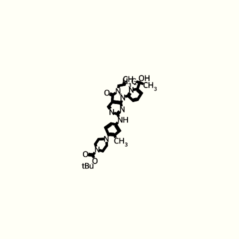 C=CCn1c(=O)c2cnc(Nc3ccc(N4CCN(C(=O)OC(C)(C)C)CC4)c(C)c3)nc2n1-c1cccc(C(C)(C)O)n1